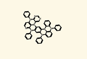 c1ccc(N2c3ccccc3B3c4cc5c(cc4N(c4ccccc4)c4cccc2c43)N(c2ccccc2)c2nccc3c2B5c2cncnc2N3c2ccccc2)cc1